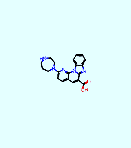 O=C(O)c1cc2ccc(N3CCCNCC3)nc2n2c1nc1ccccc12